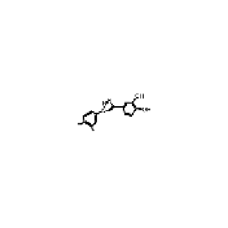 Oc1ccc(-c2cn(-c3ccc(F)c(F)c3)nn2)cc1O